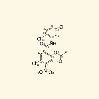 CC(=O)Oc1cc([N+](=O)[O-])c(Cl)cc1C(=O)Nc1cc(Cl)ccc1Cl